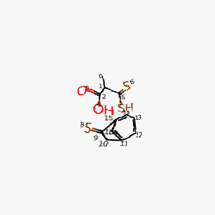 CC(C(=O)O)C(=S)S.S=C1Cc2cccc1c2